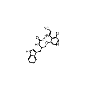 CC(C)(C)OC(=O)NC(COc1cncc(Cl)c1C=CC#N)Cc1c[nH]c2ccccc12